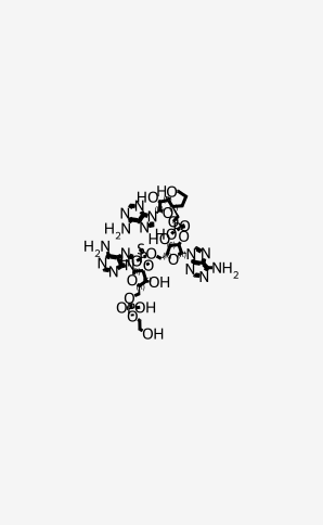 Nc1ncnc2c1ncn2[C@@H]1O[C@H](COP(O)(=S)OC2[C@@H](O)[C@@H](COP(=O)(O)OCCO)O[C@H]2n2cnc3c(N)ncnc32)[C@H](O)C1OP(=O)(O)OC[C@]12CCCO[C@@H]1C(O)[C@H](n1cnc3c(N)ncnc31)O2